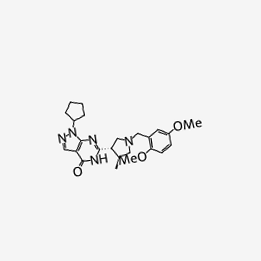 COc1ccc(OC)c(CN2C[C@@H](C)[C@H](c3nc4c(cnn4C4CCCC4)c(=O)[nH]3)C2)c1